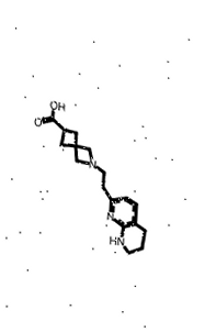 O=C(O)C1CC2(C1)CN(CCc1ccc3c(n1)NCCC3)C2